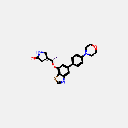 O=C1C[C@H]([C@H](I)Oc2cc(-c3ccc(N4CCOCC4)cc3)cc3ncsc23)CN1